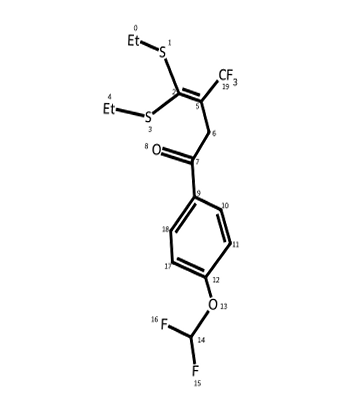 CCSC(SCC)=C(CC(=O)c1ccc(OC(F)F)cc1)C(F)(F)F